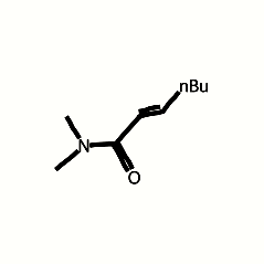 CCCC/C=C/C(=O)N(C)C